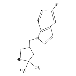 CC1(C)CC(Cn2ccc3cc(Br)cnc32)CN1